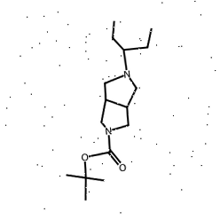 CCC(CC)N1CC2CN(C(=O)OC(C)(C)C)CC2C1